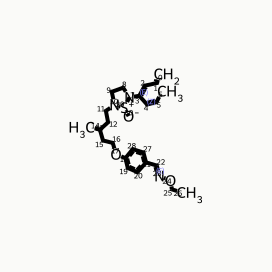 C=C/C=C(\C=C/C)N1CCN(CCC(C)CCOc2ccc(/C=N/OCC)cc2)[S+]1[O-]